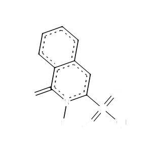 CCn1c(S(C)(=O)=O)cc2ccccc2c1=O